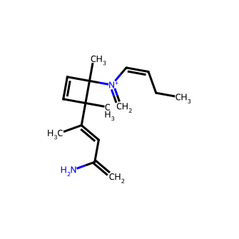 C=C(N)/C=C(\C)C1(C)C=CC1(C)[N+](=C)/C=C\CC